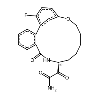 NC(=O)C(=O)[C@@H]1CCCCCOc2ccc(F)c(c2)-c2ccccc2C(=O)N1